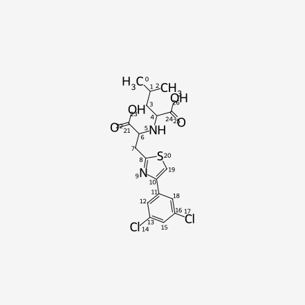 CC(C)CC(NC(Cc1nc(-c2cc(Cl)cc(Cl)c2)cs1)C(=O)O)C(=O)O